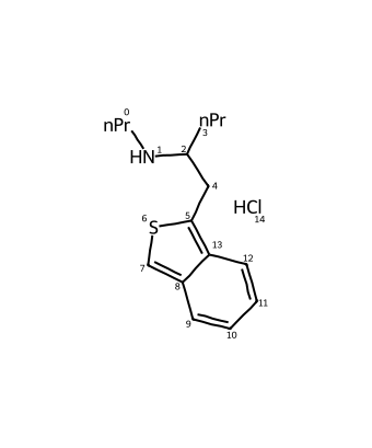 CCCNC(CCC)Cc1scc2ccccc12.Cl